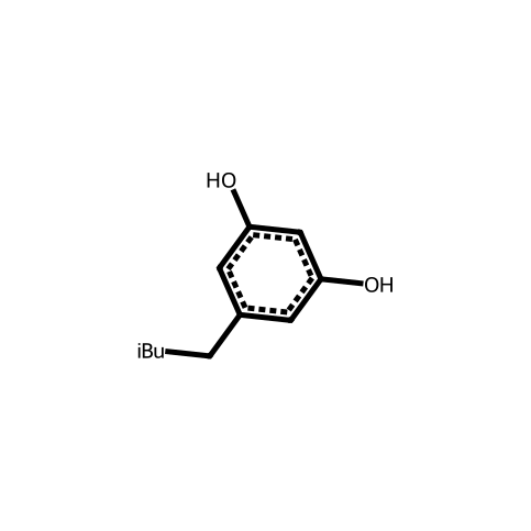 CCC(C)Cc1cc(O)cc(O)c1